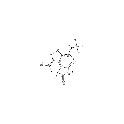 C=CC1=C2C(=C(Br)CC1(C)C(=O)O)CCN2C(=O)OC(C)(C)C